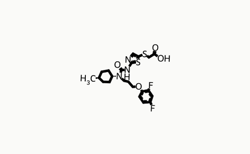 C[C@H]1CC[C@H](N(CCCOc2ccc(F)cc2F)C(=O)Nc2ncc(SCC(=O)O)s2)CC1